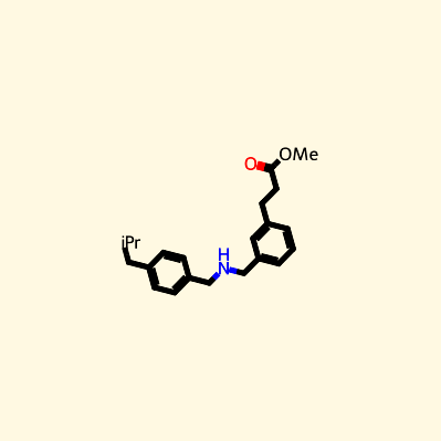 COC(=O)CCc1cccc(CNCc2ccc(CC(C)C)cc2)c1